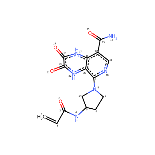 C=CC(=O)NC1CCN(c2ncc(C(N)=O)c3[nH]c(=O)c(=O)[nH]c23)C1